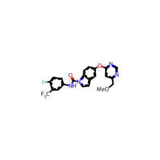 COCc1cc(Oc2ccc3c(ccn3C(=O)Nc3ccc(F)c(C(F)(F)F)c3)c2)ncn1